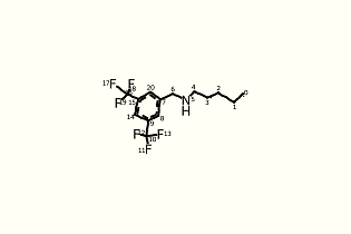 [CH2]CC[CH]CNCc1cc(C(F)(F)F)cc(C(F)(F)F)c1